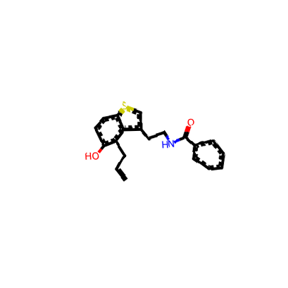 C=CCc1c(O)ccc2scc(CCNC(=O)c3ccccc3)c12